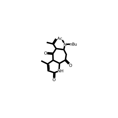 C=C(C)C1C(=O)C2C(C)=CC(=O)NC2C(=O)CC1N(CCCC)C(C)=O